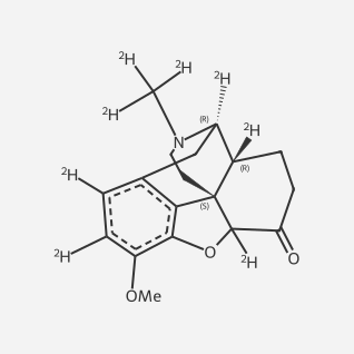 [2H]c1c([2H])c(OC)c2c3c1C[C@@]1([2H])N(C([2H])([2H])[2H])CC[C@@]34C([2H])(O2)C(=O)CC[C@@]14[2H]